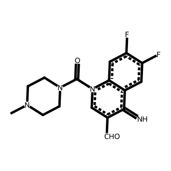 CN1CCN(C(=O)n2cc(C=O)c(=N)c3cc(F)c(F)cc32)CC1